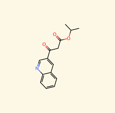 CC(C)OC(=O)CC(=O)c1cnc2ccccc2c1